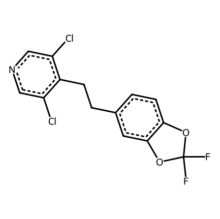 FC1(F)Oc2ccc(CCc3c(Cl)cncc3Cl)cc2O1